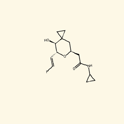 O=C(C[C@@H]1CC2(CC2)[C@H](O)[C@@H](/C=C/I)O1)NC1CC1